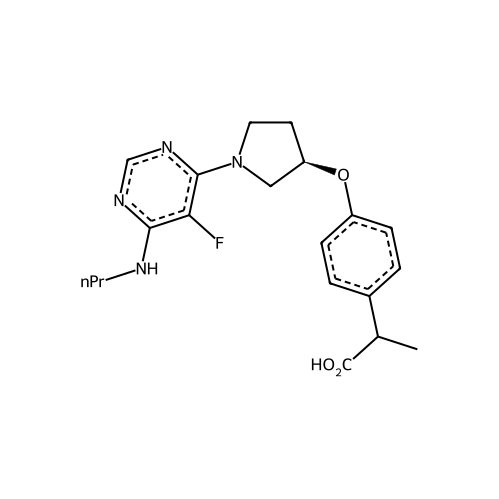 CCCNc1ncnc(N2CC[C@@H](Oc3ccc(C(C)C(=O)O)cc3)C2)c1F